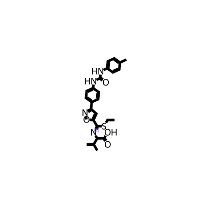 CCS/C(=N\C(C(=O)O)C(C)C)c1cc(-c2ccc(NC(=O)Nc3ccc(C)cc3)cc2)no1